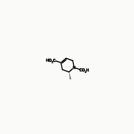 C[C@@H]1CC(C(=O)O)=CCN1C(=O)O